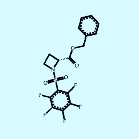 O=C(OCc1ccccc1)[C@H]1CCN1S(=O)(=O)c1c(F)c(F)c(F)c(F)c1F